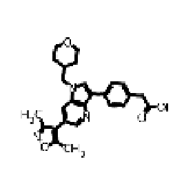 Cc1noc(C)c1-c1cnc2c(-c3ccc(CC(=O)O)cc3)cn(CC3CCOCC3)c2c1